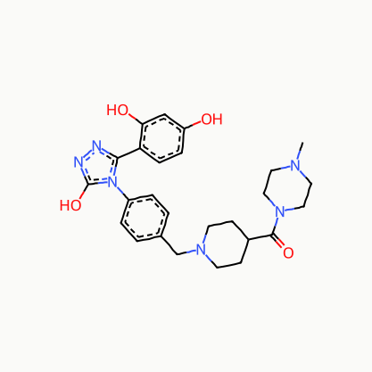 CN1CCN(C(=O)C2CCN(Cc3ccc(-n4c(O)nnc4-c4ccc(O)cc4O)cc3)CC2)CC1